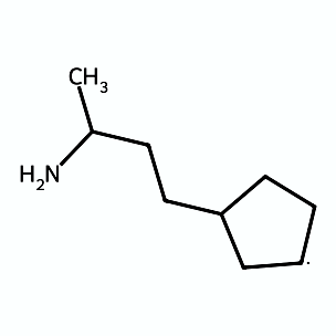 CC(N)CCC1C[CH]CC1